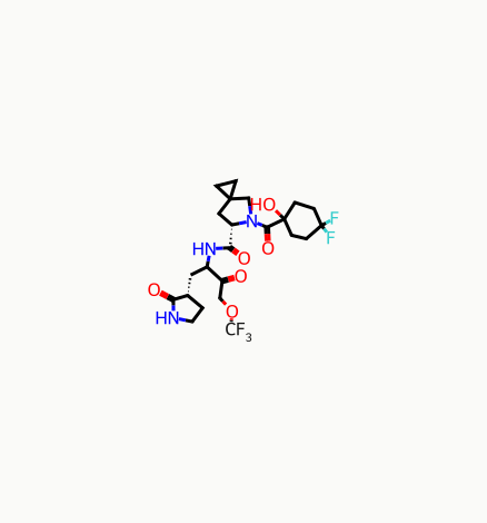 O=C(COC(F)(F)F)C(C[C@@H]1CCNC1=O)NC(=O)[C@@H]1CC2(CC2)CN1C(=O)C1(O)CCC(F)(F)CC1